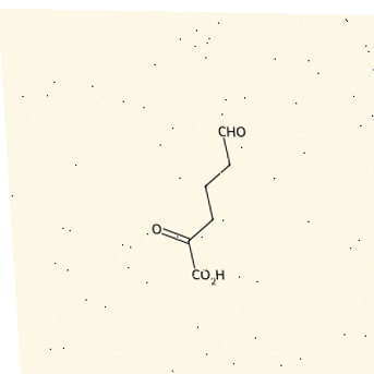 O=CCCCC(=O)C(=O)O